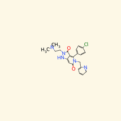 CN(C)CCn1[nH]c2cc(=O)n(Cc3ccccn3)c(-c3ccc(Cl)cc3)c2c1=O